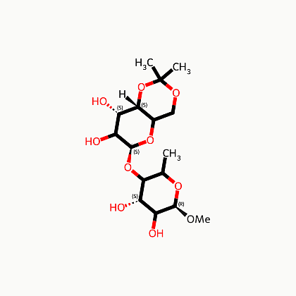 CO[C@@H]1OC(C)C(O[C@@H]2OC3COC(C)(C)O[C@H]3[C@@H](O)C2O)[C@@H](O)C1O